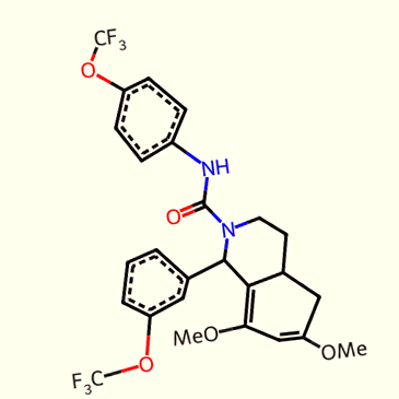 COC1=CC(OC)=C2C(CCN(C(=O)Nc3ccc(OC(F)(F)F)cc3)C2c2cccc(OC(F)(F)F)c2)C1